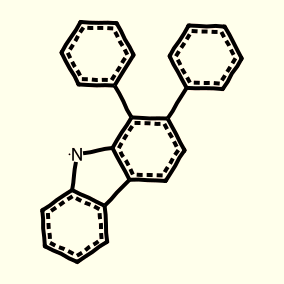 c1ccc(-c2ccc3c(c2-c2ccccc2)[N]c2ccccc2-3)cc1